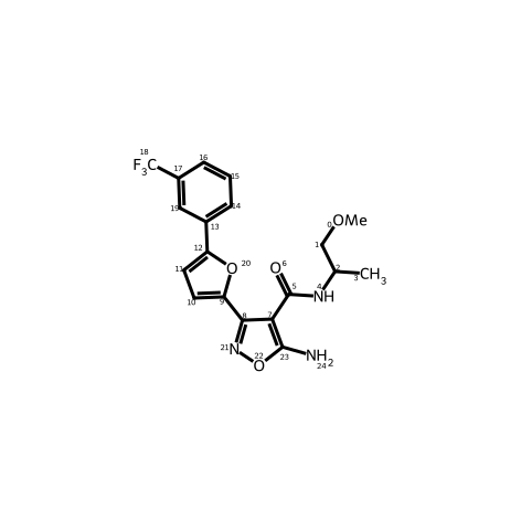 COCC(C)NC(=O)c1c(-c2ccc(-c3cccc(C(F)(F)F)c3)o2)noc1N